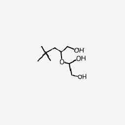 CC(C)(C)CC(CO)OC(O)CO